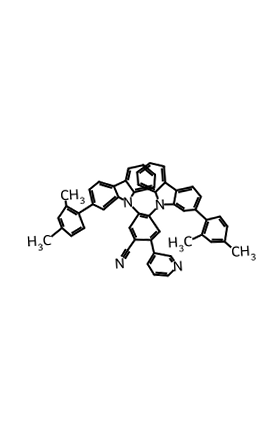 Cc1ccc(-c2ccc3c4ccccc4n(-c4cc(C#N)c(-c5cccnc5)cc4-n4c5ccccc5c5ccc(-c6ccc(C)cc6C)cc54)c3c2)c(C)c1